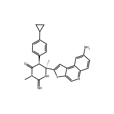 CN1C(=N)N[C@](C)(c2cc3c(cnc4ccc(N)cc43)s2)[C@H](c2ccc(C3CC3)cc2)C1=O